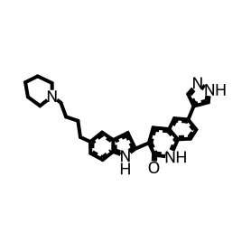 O=c1[nH]c2ccc(-c3cn[nH]c3)cc2cc1-c1cc2cc(CCCCN3CCCCC3)ccc2[nH]1